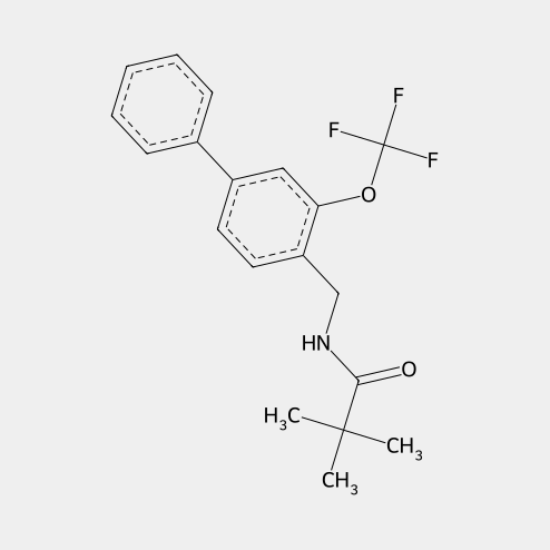 CC(C)(C)C(=O)NCc1ccc(-c2ccccc2)cc1OC(F)(F)F